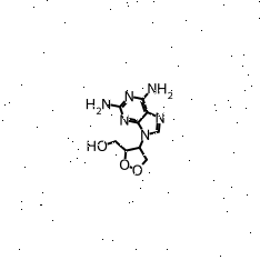 Nc1nc(N)c2ncn(C3COOC3CO)c2n1